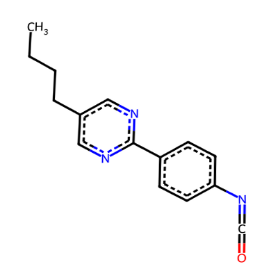 CCCCc1cnc(-c2ccc(N=C=O)cc2)nc1